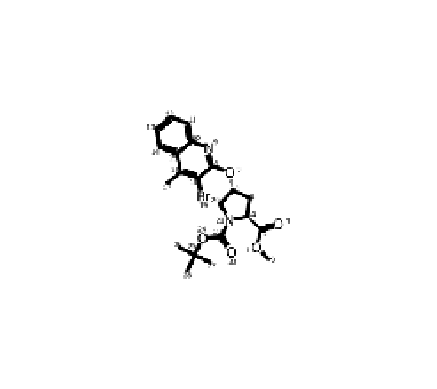 COC(=O)[C@@H]1C[C@@H](Oc2nc3ccccc3c(C)c2Br)CN1C(=O)OC(C)(C)C